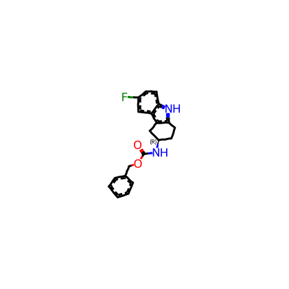 O=C(N[C@@H]1CCc2[nH]c3ccc(F)cc3c2C1)OCc1ccccc1